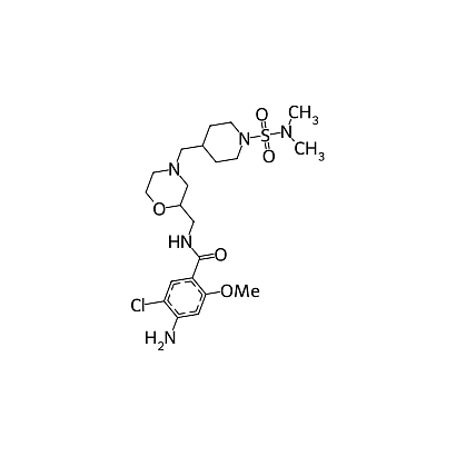 COc1cc(N)c(Cl)cc1C(=O)NCC1CN(CC2CCN(S(=O)(=O)N(C)C)CC2)CCO1